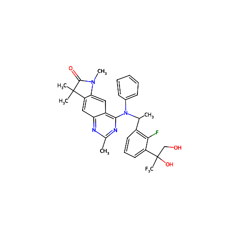 Cc1nc(N(c2ccccc2)C(C)c2cccc(C(O)(CO)C(F)(F)F)c2F)c2cc3c(cc2n1)C(C)(C)C(=O)N3C